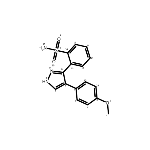 COc1ccc(-c2c[nH]nc2-c2ccccc2S(N)(=O)=O)cc1